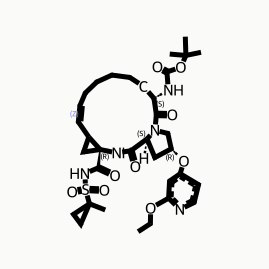 CCOc1cc(O[C@@H]2C[C@H]3C(=O)N[C@]4(C(=O)NS(=O)(=O)C5(C)CC5)CC4/C=C\CCCCC[C@H](NC(=O)OC(C)(C)C)C(=O)N3C2)ccn1